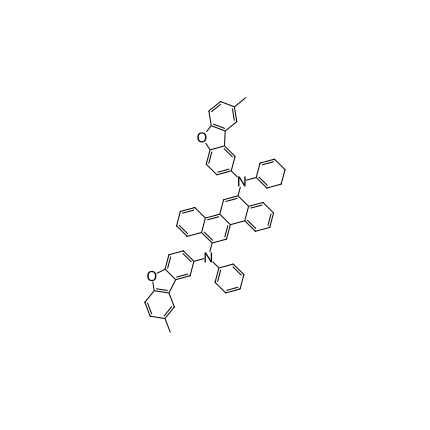 Cc1ccc2oc3ccc(N(C4=CCCC=C4)c4cc5c6ccccc6c(N(c6ccccc6)c6ccc7oc8ccc(C)cc8c7c6)cc5c5ccccc45)cc3c2c1